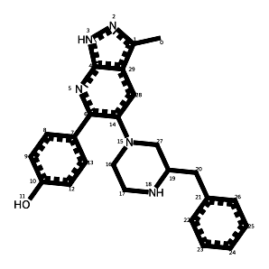 Cc1n[nH]c2nc(-c3ccc(O)cc3)c(N3CCNC(Cc4ccccc4)C3)[c]c12